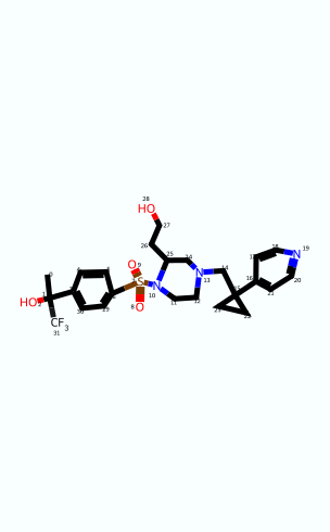 CC(O)(c1ccc(S(=O)(=O)N2CCN(CC3(c4ccncc4)CC3)CC2CCO)cc1)C(F)(F)F